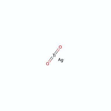 [Ag].[O]=[Ti]=[O]